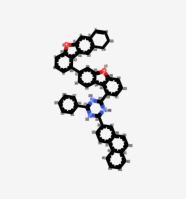 C1=Cc2cc3oc4cccc(-c5ccc6c(c5)oc5cccc(-c7nc(-c8ccccc8)nc(-c8ccc9c(ccc%10ccccc%109)c8)n7)c56)c4c3cc2CC1